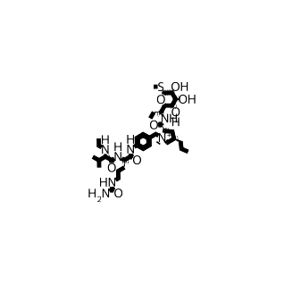 CCC[C@@H]1C[C@@H](C(=O)N[C@H](CC)C2O[C@H](SC)[C@H](O)[C@@H](O)[C@H]2O)[N+](C)(Cc2ccc(NC(=O)[C@H](CCCNC(N)=O)NC(=O)[C@@H](NCC)C(C)C)cc2)C1